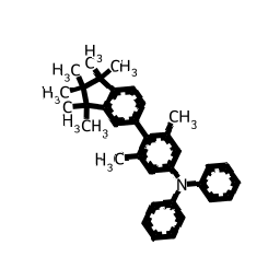 Cc1cc(N(c2ccccc2)c2ccccc2)cc(C)c1-c1ccc2c(c1)C(C)(C)C(C)(C)C2(C)C